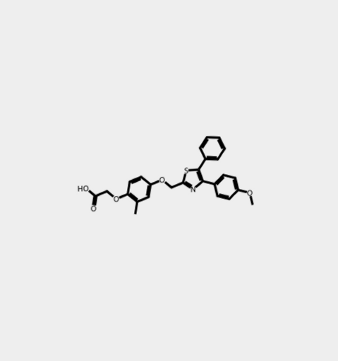 COc1ccc(-c2nc(COc3ccc(OCC(=O)O)c(C)c3)sc2-c2ccccc2)cc1